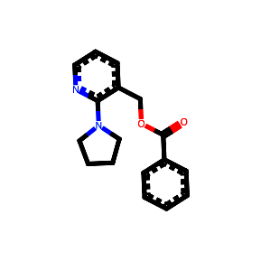 O=C(OCc1cccnc1N1CCCC1)c1ccccc1